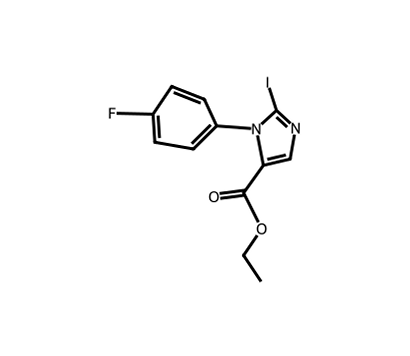 CCOC(=O)c1cnc(I)n1-c1ccc(F)cc1